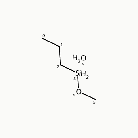 CCC[SiH2]OC.O